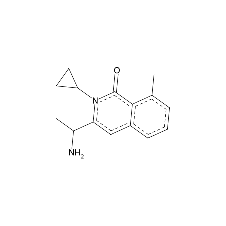 Cc1cccc2cc(C(C)N)n(C3CC3)c(=O)c12